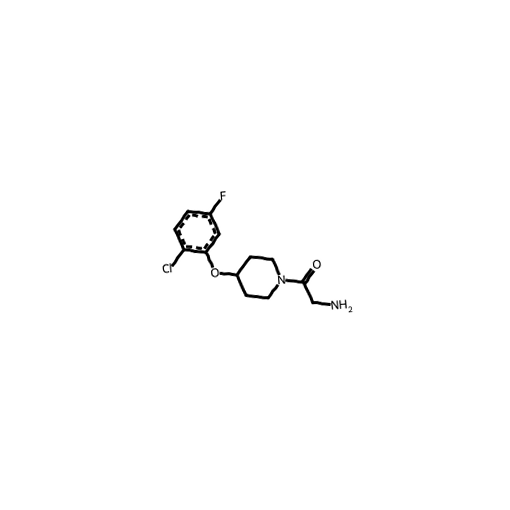 NCC(=O)N1CCC(Oc2cc(F)ccc2Cl)CC1